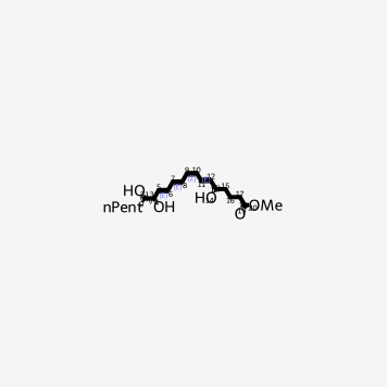 CCCCC[C@@H](O)[C@H](O)/C=C/C=C/C=C\C=C\[C@@H](O)CCCC(=O)OC